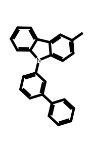 Cc1ccc2c(c1)c1ccccc1n2-c1cccc(-c2ccccc2)c1